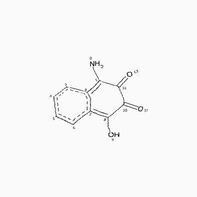 NC1=c2ccccc2=C(O)C(=O)C1=O